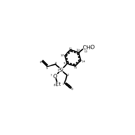 C=CC[Si](CC=C)(OCC)c1ccc(C=O)cc1